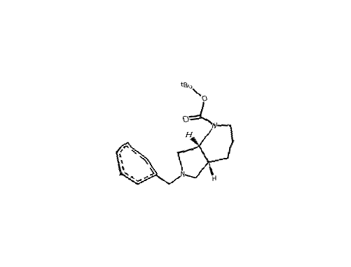 CC(C)(C)OC(=O)N1CCC[C@@H]2CN(Cc3ccccc3)C[C@@H]21